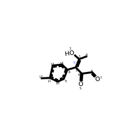 C/C(O)=C(\C(=O)C=O)c1ccc(C)cc1